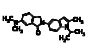 Cc1cc2cc(N3Cc4ccc(N(C)C)cc4C3=O)ccc2n1C(C)C